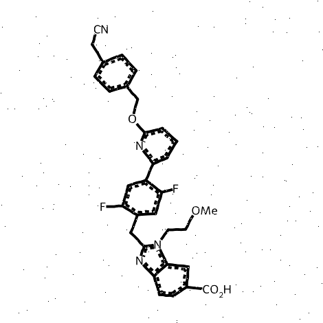 COCCn1c(Cc2cc(F)c(-c3cccc(OCc4ccc(CC#N)cc4)n3)cc2F)nc2ccc(C(=O)O)cc21